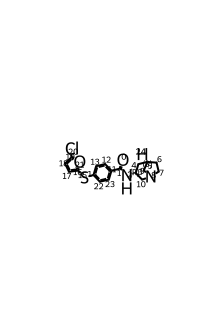 O=C(N[C@@H]1C[C@@H]2CCN(C2)C1)c1ccc(Sc2ccc(Cl)o2)cc1